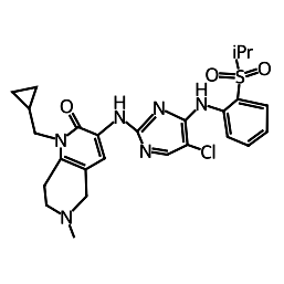 CC(C)S(=O)(=O)c1ccccc1Nc1nc(Nc2cc3c(n(CC4CC4)c2=O)CCN(C)C3)ncc1Cl